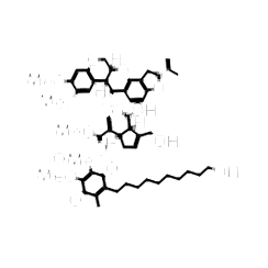 C=C(C)[C@H]1Cc2c(ccc3c2O[C@@H]2COc4cc(OC)c(OC)cc4[C@@H]2C3=O)O1.COC(=O)C1=CO[C@@H](O)[C@@H]2C(CO)=CC[C@H]12.COC1=C(OC)C(=O)C(CCCCCCCCCCO)=C(C)C1=O